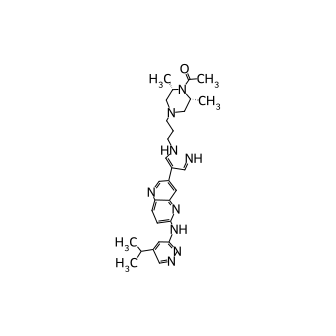 CC(=O)N1[C@H](C)CN(CCCN/C=C(\C=N)c2cnc3ccc(Nc4cc(C(C)C)cnn4)nc3c2)C[C@@H]1C